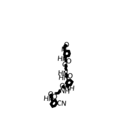 N#CC1CCCC(NC(=O)OCCCNC(=O)NC2CCCC(NC(=O)NCCCOC(=O)NC3CCCC(N=C=O)C3)C2)C1